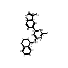 Cc1nc(N[C@@H]2CCCc3ccccc32)cc(-c2ccc3occ(C)c3c2)n1